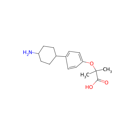 CC(C)(Oc1ccc(C2CCC(N)CC2)cc1)C(=O)O